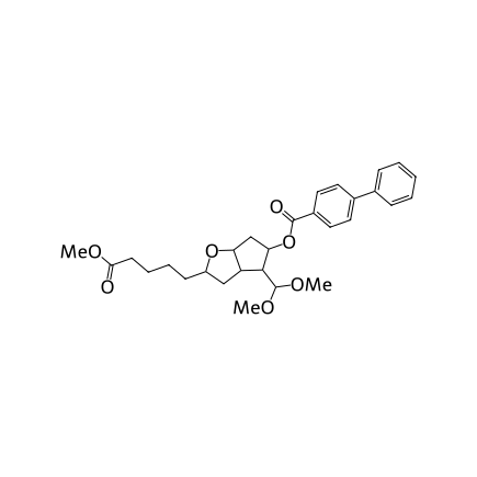 COC(=O)CCCCC1CC2C(CC(OC(=O)c3ccc(-c4ccccc4)cc3)C2C(OC)OC)O1